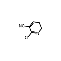 N#CC1=CCCN=C1Cl